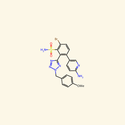 COc1ccc(Cn2nnc(-c3c(-c4ccc(N)nc4)ccc(Br)c3S(N)(=O)=O)n2)cc1